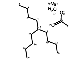 CC(=O)[O-].CCCCP(CCCC)CCCC.O.[Na+]